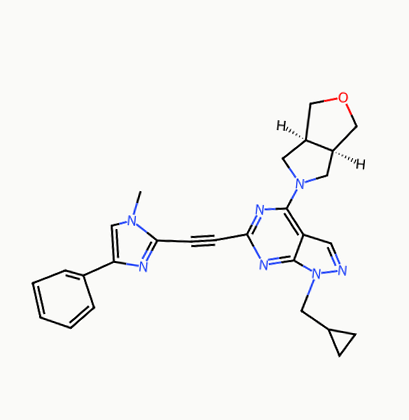 Cn1cc(-c2ccccc2)nc1C#Cc1nc(N2C[C@H]3COC[C@H]3C2)c2cnn(CC3CC3)c2n1